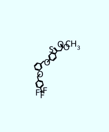 COC(=O)Cc1csc2cc(OCc3cccc(OCc4ccc(C(F)(F)F)cc4)c3)ccc12